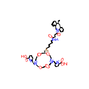 C=CC1Cc2ccccc2N(C(=O)CCC(=O)NCCCCCSC[C@@H]2COCCN(Cc3cccc(C(=O)O)n3)CCOCCOCCN(Cc3cccc(C(=O)O)n3)CCO2)Cc2ccccc21